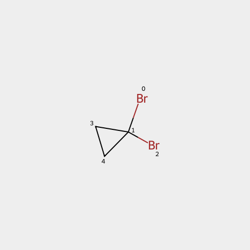 BrC1(Br)CC1